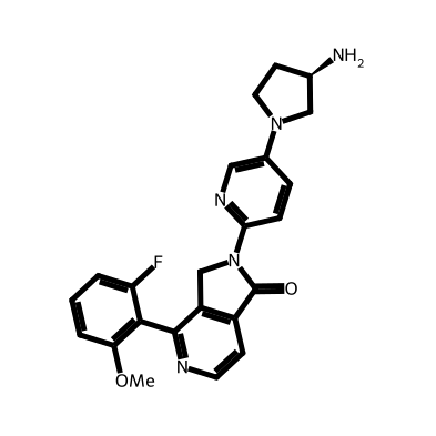 COc1cccc(F)c1-c1nccc2c1CN(c1ccc(N3CC[C@@H](N)C3)cn1)C2=O